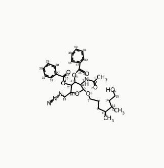 CC(=O)NC1C(OCCCC(C)C(C)CCO)OC(CN=[N+]=[N-])C(OC(=O)c2ccccc2)C1OC(=O)c1ccccc1